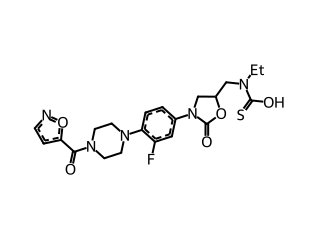 CCN(CC1CN(c2ccc(N3CCN(C(=O)c4ccno4)CC3)c(F)c2)C(=O)O1)C(O)=S